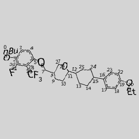 CCCCOc1ccc(OCC2CCC(C3CCC(c4ccc(OCC)cc4)CC3)OC2)c(C(F)(F)F)c1F